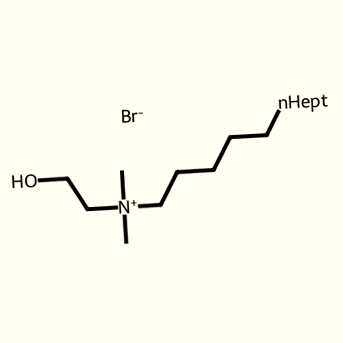 CCCCCCCCCCCC[N+](C)(C)CCO.[Br-]